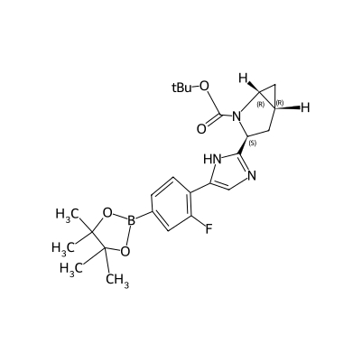 CC(C)(C)OC(=O)N1[C@@H]2C[C@@H]2C[C@H]1c1ncc(-c2ccc(B3OC(C)(C)C(C)(C)O3)cc2F)[nH]1